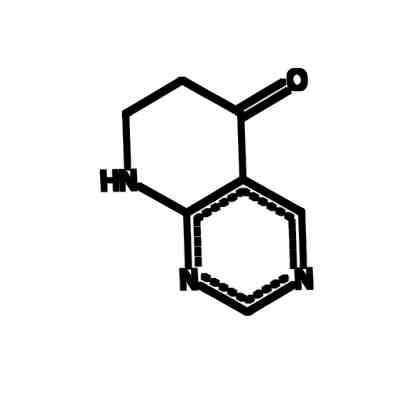 O=C1CCNc2ncncc21